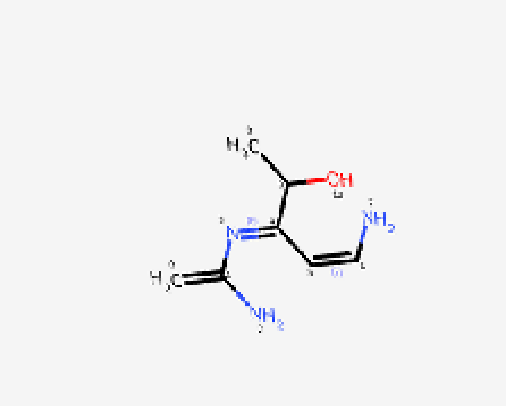 C=C(N)/N=C(\C=C/N)C(C)O